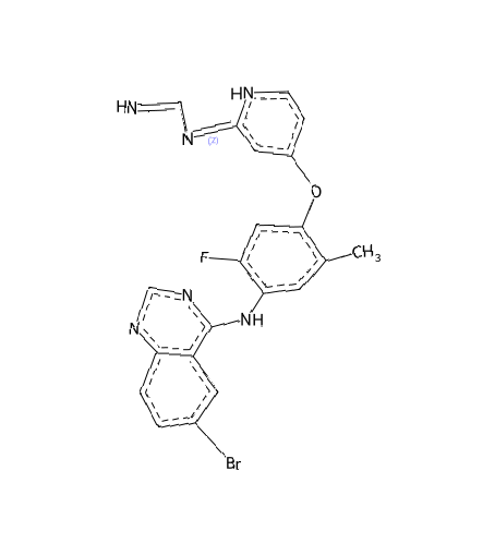 Cc1cc(Nc2ncnc3ccc(Br)cc23)c(F)cc1Oc1cc[nH]/c(=N\C=N)c1